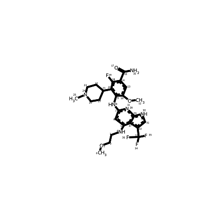 COCCNc1cc(Nc2c(OC)cc(C(N)=O)c(F)c2C2CCN(C)CC2)nc2[nH]cc(C(F)(F)F)c12